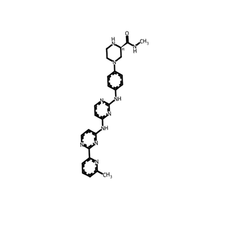 CNC(=O)[C@H]1CN(c2ccc(Nc3nccc(Nc4ccnc(-c5cccc(C)n5)n4)n3)cc2)CCN1